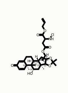 C=CCOC(=O)C(CC(=O)OCC(=O)[C@@]12OC(C)(C)O[C@@H]1C[C@H]1[C@@H]3CCC4=CC(=O)C=C[C@]4(C)C3(F)[C@@H](O)C[C@@]12C)NCl